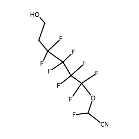 N#CC(F)OC(F)(F)C(F)(F)C(F)(F)C(F)(F)CCO